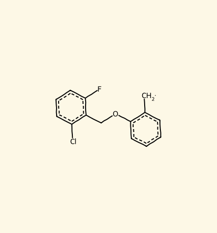 [CH2]c1ccccc1OCc1c(F)cccc1Cl